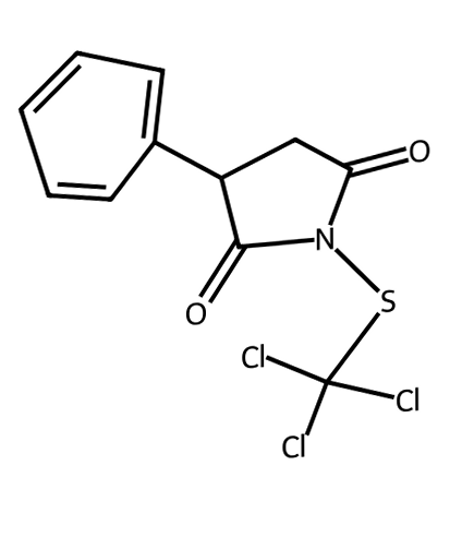 O=C1CC(c2ccccc2)C(=O)N1SC(Cl)(Cl)Cl